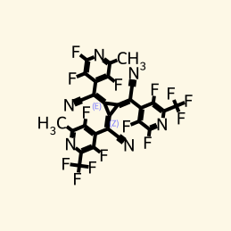 Cc1nc(C(F)(F)F)c(F)c(/C(C#N)=C2/C(=C(C#N)c3c(F)c(F)nc(C(F)(F)F)c3F)/C2=C(/C#N)c2c(F)c(C)nc(F)c2F)c1F